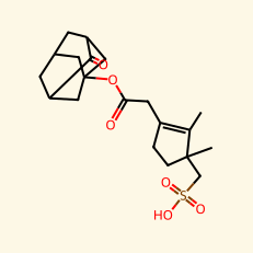 CC1=C(CC(=O)OC23CC4CC(C2)C(=O)C(C4)C3)CCC1(C)CS(=O)(=O)O